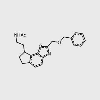 CC(=O)NCCC1CCc2ccc3nc(COCc4ccccc4)oc3c21